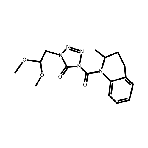 COC(Cn1nnn(C(=O)N2c3ccccc3CCC2C)c1=O)OC